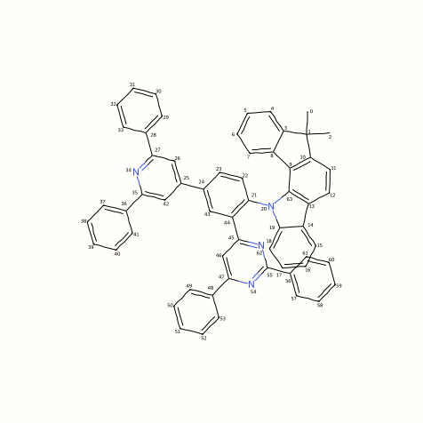 CC1(C)c2ccccc2-c2c1ccc1c3ccccc3n(-c3ccc(-c4cc(-c5ccccc5)nc(-c5ccccc5)c4)cc3-c3cc(-c4ccccc4)nc(-c4ccccc4)n3)c21